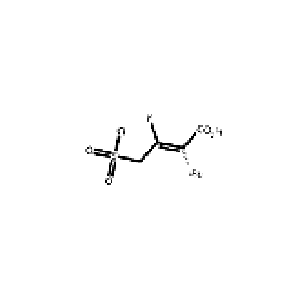 CC[C@@H](C)/C(C(=O)O)=C(/F)CS(=O)(=O)Cl